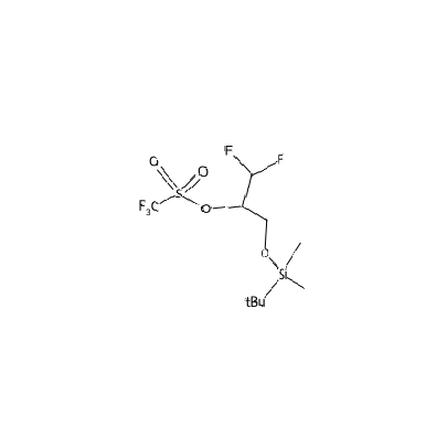 CC(C)(C)[Si](C)(C)OCC(OS(=O)(=O)C(F)(F)F)C(F)F